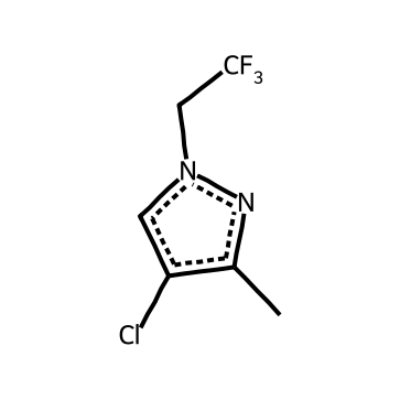 Cc1nn(CC(F)(F)F)cc1Cl